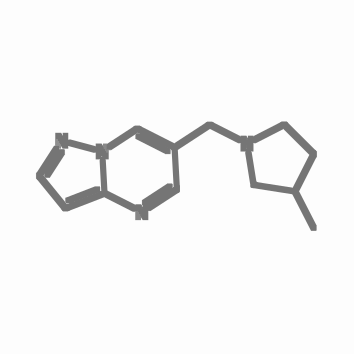 CC1CCN(Cc2cnc3ccnn3c2)C1